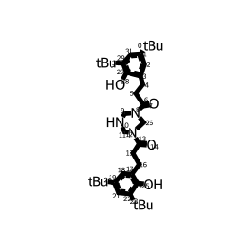 CC(C)(C)c1cc(CCC(=O)N2CNCN(C(=O)CCc3cc(C(C)(C)C)cc(C(C)(C)C)c3O)C2)c(O)c(C(C)(C)C)c1